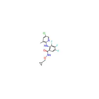 Cc1cc(Cl)cnc1Nc1c(C(=O)NOCC2CC2)cc(F)c(F)c1F